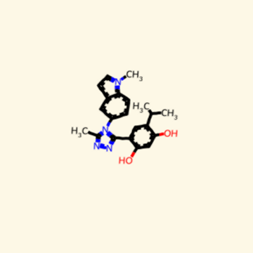 Cc1nnc(-c2cc(C(C)C)c(O)cc2O)n1-c1ccc2c(ccn2C)c1